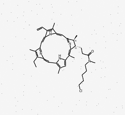 C=Cc1c(C)c2cc3nc(c(C)c4cc(C)c(cc5nc(cc1[nH]2)C(C)=C5CC)[nH]4)[C@@H](CCC(=O)N(C)CCCCCCl)[C@@H]3C